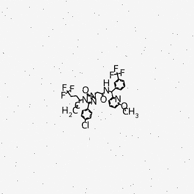 C=C=C(CCC(F)(F)F)n1c(-c2ccc(Cl)cc2)nn(CC(=O)NC(c2cccc(C(F)(F)F)c2)c2cccc(OC)n2)c1=O